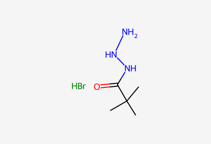 Br.CC(C)(C)C(=O)NNN